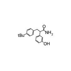 CC(C)(C)c1ccc(CC(C(N)=O)c2cccc(O)c2)cc1